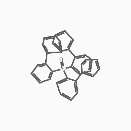 O=[As](c1ccccc1-c1ccccc1)(c1ccccc1-c1ccccc1)c1ccccc1-c1ccccc1